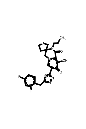 CCCN1C(=O)c2c(O)c(=O)c(-c3nnc(Cc4ccc(F)cc4F)s3)cn2CC12CCOC2